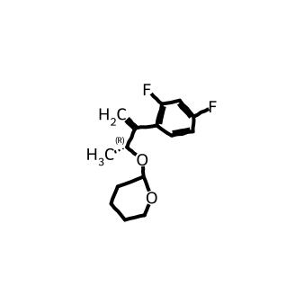 C=C(c1ccc(F)cc1F)[C@@H](C)OC1CCCCO1